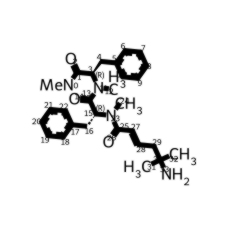 CNC(=O)[C@@H](Cc1ccccc1)N(C)C(=O)[C@@H](Cc1ccccc1)N(C)C(=O)C=CCC(C)(C)N